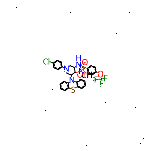 CN=S(=O)(NC1CN(c2ccc(Cl)cc2)CC(N2c3ccccc3Sc3ccccc32)C1O)c1ccc(OC(F)(F)F)cc1